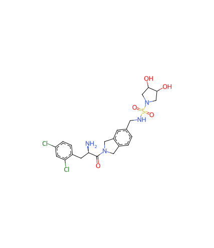 N[C@H](Cc1ccc(Cl)cc1Cl)C(=O)N1Cc2ccc(CNS(=O)(=O)N3CC(O)C(O)C3)cc2C1